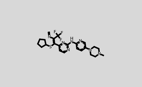 C=N/C(=C(\SC1CCCC1)c1ccnc(Nc2ccc(N3CCN(C)CC3)cn2)n1)C(F)(F)F